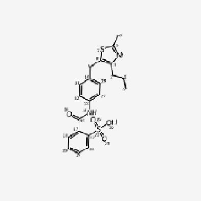 CCCc1nc(C)sc1Cc1ccc(NC(=O)c2ccccc2S(=O)(=O)O)cc1